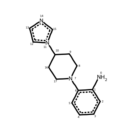 Nc1ccccc1N1CCC(n2ccnc2)CC1